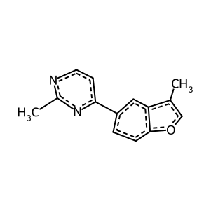 Cc1nccc(-c2ccc3occ(C)c3c2)n1